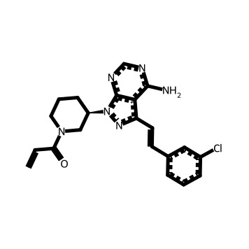 C=CC(=O)N1CCC[C@@H](n2nc(/C=C/c3cccc(Cl)c3)c3c(N)ncnc32)C1